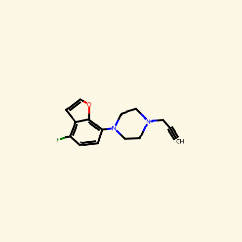 C#CCN1CCN(c2ccc(F)c3ccoc23)CC1